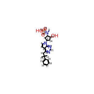 CN([C@H]1C[C@@H](n2ccc3c(CC(C)(C)c4ccccc4)ncnc32)C[C@@H]1O)S(=O)(=O)O